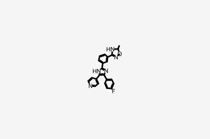 CC1NC(c2cccc(-c3nc(-c4ccc(F)cc4)c(-c4ccncc4)[nH]3)c2)=NO1